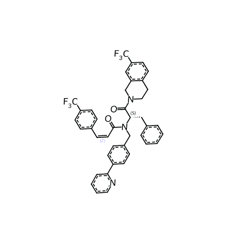 O=C([C@H](Cc1ccccc1)N(Cc1ccc(-c2ccccn2)cc1)C(=O)/C=C\c1ccc(C(F)(F)F)cc1)N1CCc2ccc(C(F)(F)F)cc2C1